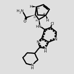 NC(=O)[C@@H]1[C@H](Nc2c(Cl)cnc3[nH]c(C4CCCNC4)nc23)[C@H]2C=C[C@@H]1C2